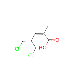 CC(=CC(CCl)CCl)C(=O)O